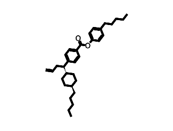 C=CCC(c1ccc(C(=O)Oc2ccc(CCCCC)cc2)cc1)[C@H]1CC[C@H](CCCCC)CC1